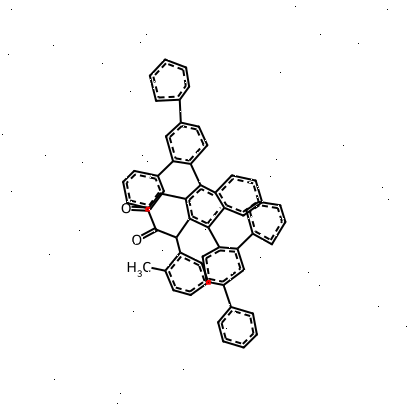 Cc1ccccc1C1C(=O)C(=O)Cc2c1c(-c1ccc(-c3ccccc3)cc1-c1ccccc1)c1ccccc1c2-c1ccc(-c2ccccc2)cc1-c1ccccc1